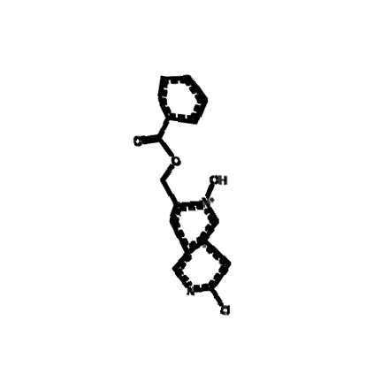 O=C(OCc1cc2cnc(Cl)cc2c[n+]1O)c1ccccc1